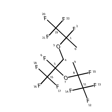 CC(F)(OCC(F)(OC(C)(F)C(F)(F)F)C(F)(F)F)C(F)(F)F